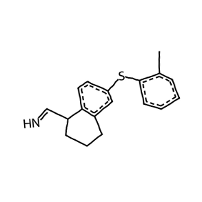 Cc1ccccc1Sc1ccc2c(c1)CCCC2C=N